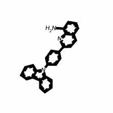 Nc1cccc2ccc(-c3ccc(-n4c5ccccc5c5ccccc54)cc3)nc12